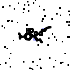 CC/C=C(\OO/C=C/CC)c1ccc(C(C)C)cc1O